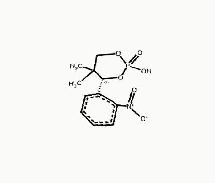 CC1(C)COP(=O)(O)O[C@@H]1c1ccccc1[N+](=O)[O-]